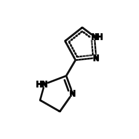 c1cc(C2=NCCN2)n[nH]1